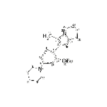 Cc1c(-c2ccc(N3CCCCC3)cc2OCC(C)C)cc2ccccn12